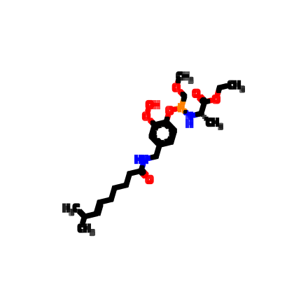 CCOC(=O)[C@H](C)NP(COC)Oc1ccc(CNC(=O)CCCC/C=C/C(C)C)cc1OO